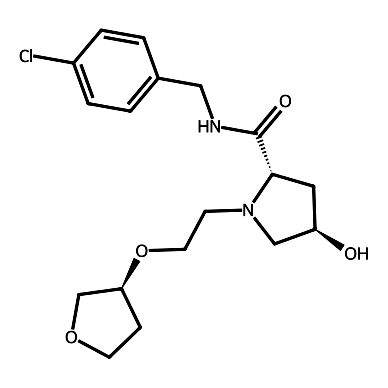 O=C(NCc1ccc(Cl)cc1)[C@@H]1C[C@@H](O)CN1CCO[C@H]1CCOC1